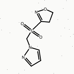 O=S(=O)(Cn1cccn1)C1=NOCC1